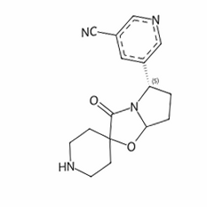 N#Cc1cncc([C@@H]2CCC3OC4(CCNCC4)C(=O)N32)c1